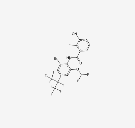 O=Nc1cccc(C(=O)Nc2c(Br)cc(C(I)(C(F)(F)I)C(F)(F)I)cc2OC(F)F)c1F